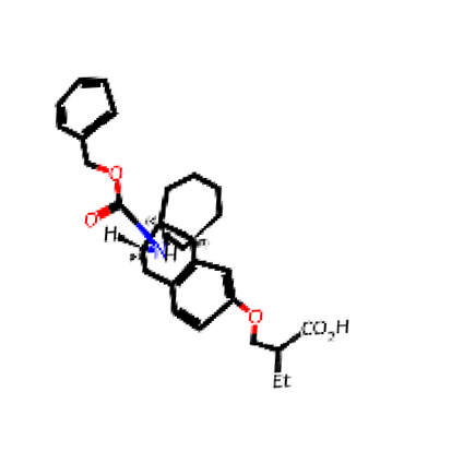 CCC(COc1ccc2c(c1)[C@@]13CCCC[C@H]1[C@@H](C2)N(C(=O)OCc1ccccc1)CC3)C(=O)O